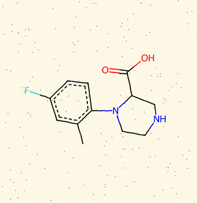 Cc1cc(F)ccc1N1CCNCC1C(=O)O